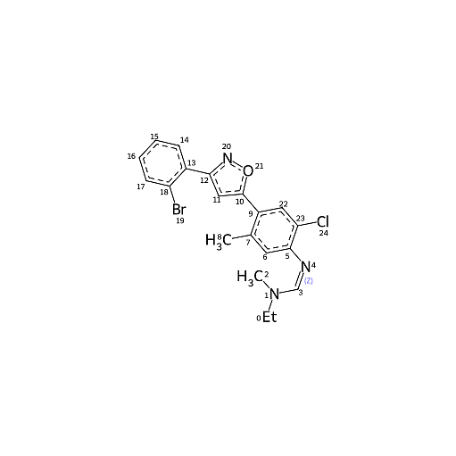 CCN(C)/C=N\c1cc(C)c(-c2cc(-c3ccccc3Br)no2)cc1Cl